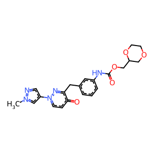 Cn1cc(-n2ccc(=O)c(Cc3cccc(NC(=O)OCC4COCCO4)c3)n2)cn1